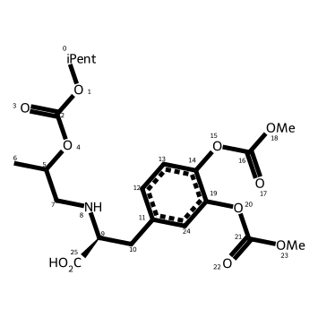 CCCC(C)OC(=O)OC(C)CN[C@@H](Cc1ccc(OC(=O)OC)c(OC(=O)OC)c1)C(=O)O